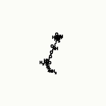 C[C@@H](N)C(C)(C)SSC(C)(C)[C@@H](N)C(=O)NCCOCCOCCNC(=O)CCCCC1SC[C@H]2NC(=O)N[C@@H]12